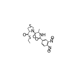 CCSC(=O)C1CSCN1C(=O)C(C)NC(=O)c1ccc(N=O)c(N=O)c1